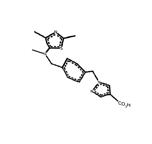 Cc1nc(C)c(N(C)Cc2ccc(Cn3cc(C(=O)O)cn3)cc2)s1